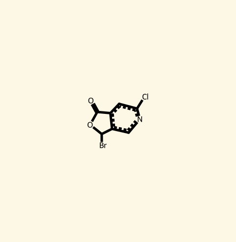 O=C1OC(Br)c2cnc(Cl)cc21